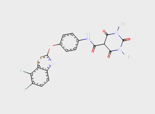 CN1C(=O)C(C(=O)Nc2ccc(Oc3nc4ccc(Cl)c(F)c4s3)cc2)C(=O)N(C)C1=O